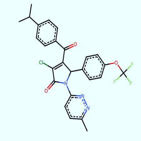 Cc1ccc(N2C(=O)C(Cl)=C(C(=O)c3ccc(C(C)C)cc3)C2c2ccc(OC(F)(F)F)cc2)nn1